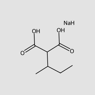 CCC(C)C(C(=O)O)C(=O)O.[NaH]